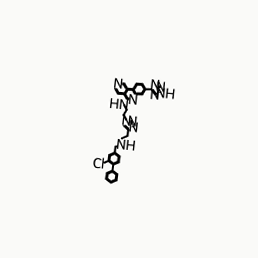 Clc1cc(CNCCc2cn(CCNc3nc4cc(-c5nn[nH]n5)ccc4c4cnccc34)nn2)ccc1-c1ccccc1